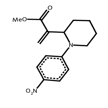 C=C(C(=O)OC)C1CCCCN1c1ccc([N+](=O)[O-])cc1